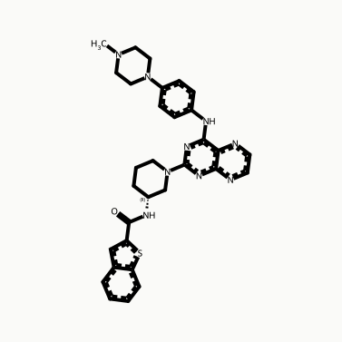 CN1CCN(c2ccc(Nc3nc(N4CCC[C@@H](NC(=O)c5cc6ccccc6s5)C4)nc4nccnc34)cc2)CC1